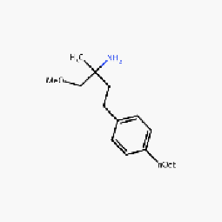 CCCCCCCCc1ccc(CCC(C)(N)COC)cc1